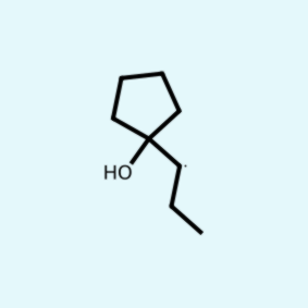 CC[CH]C1(O)CCCC1